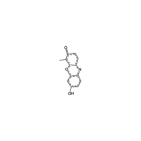 Cc1c2oc3cc(O)ccc3nc-2ccc1=O